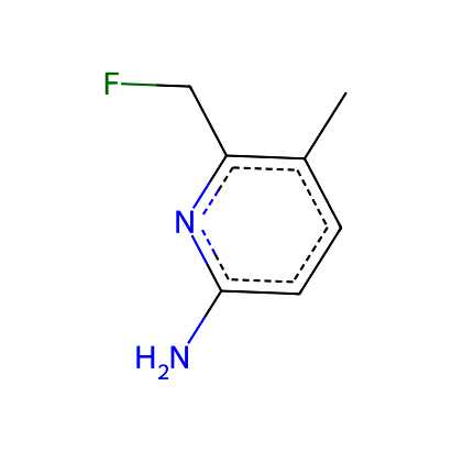 Cc1ccc(N)nc1CF